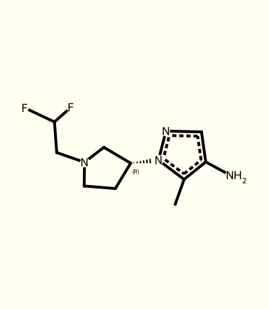 Cc1c(N)cnn1[C@@H]1CCN(CC(F)F)C1